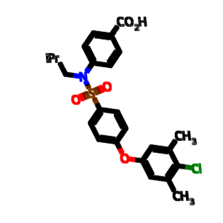 Cc1cc(Oc2ccc(S(=O)(=O)N(CC(C)C)c3ccc(C(=O)O)cc3)cc2)cc(C)c1Cl